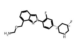 NCOCc1cccc2cn(-c3ccc([C@H]4CNC[C@@H](F)C4)cc3F)nc12